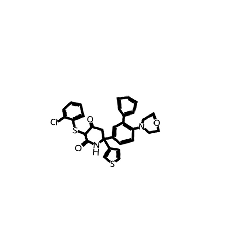 O=C1CC(c2ccsc2)(c2ccc(N3CCOCC3)c(-c3ccccc3)c2)NC(=O)C1Sc1ccccc1Cl